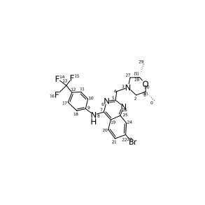 C[C@@H]1CN(Cc2nc(Nc3ccc(C(F)(F)F)cc3)c3ccc(Br)cc3n2)C[C@H](C)O1